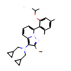 CSc1nn2c(-c3c(C)cc(C)cc3OC(C)C)cccc2c1N(CC1CC1)CC1CC1